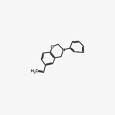 C=Cc1ccc2c(c1)CN(c1ccccc1)CO2